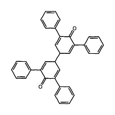 O=C1C(c2ccccc2)=CC(C2C=C(c3ccccc3)C(=O)C(c3ccccc3)=C2)C=C1c1ccccc1